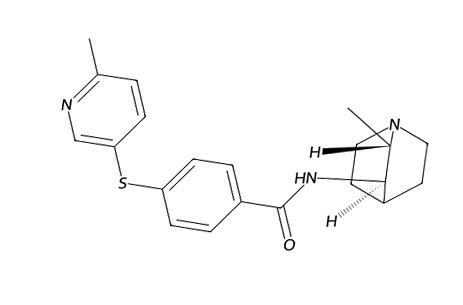 Cc1ccc(Sc2ccc(C(=O)N[C@@H]3C4CCN(CC4)[C@H]3C)cc2)cn1